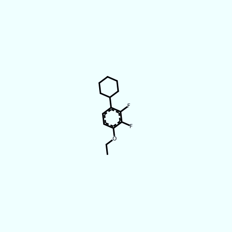 CCOc1ccc(C2CCCCC2)c(F)c1F